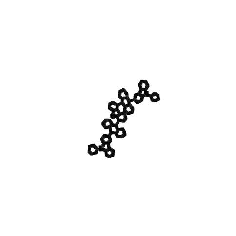 c1ccc(-n2c3ccccc3c3cc(-c4c5ccccc5c(-c5cccc6c5oc5cccc(-c7c8ccccc8c(-c8ccc9c(c8)c8ccccc8n9-c8ccccc8)c8ccccc78)c56)c5ccccc45)ccc32)cc1